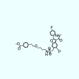 CNC(=O)c1c(-c2ccc(F)cc2)oc2cc(CS(=O)(=O)NCCCCOCCc3ccc(C(=O)OC)cc3)c(C3CC3)cc12